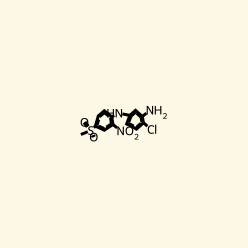 CS(=O)(=O)c1ccc(Nc2ccc(Cl)c(N)c2)c([N+](=O)[O-])c1